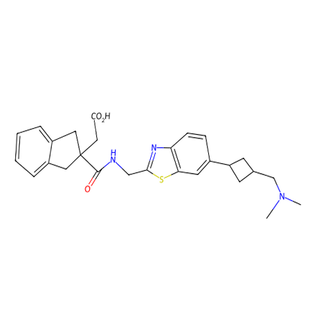 CN(C)CC1CC(c2ccc3nc(CNC(=O)C4(CC(=O)O)Cc5ccccc5C4)sc3c2)C1